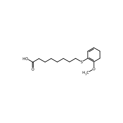 COC1=C(SCCCCCCCC(=O)O)C=CCC1